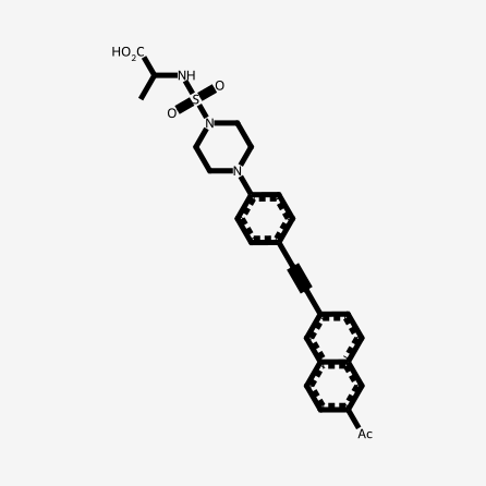 CC(=O)c1ccc2cc(C#Cc3ccc(N4CCN(S(=O)(=O)NC(C)C(=O)O)CC4)cc3)ccc2c1